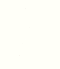 CCl.C[N+]1(C)C2CC(OC(=O)C(CO)c3ccccc3)CC1C1OC12